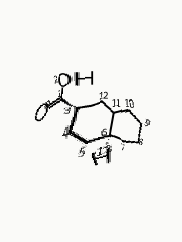 O=C(O)[C@@H]1CC[C@@H]2CCCCC2C1